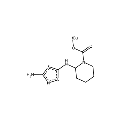 CC(C)(C)OC(=O)N1CCCCC1Nc1nnc(N)s1